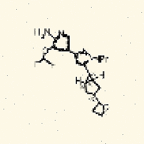 CC(C)n1nc(-c2cnc(N)c(OC(F)F)c2)cc1[C@H]1[C@@H]2C[C@@H](C3CCO3)C[C@@H]21